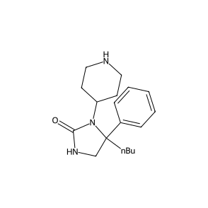 CCCCC1(c2ccccc2)CNC(=O)N1C1CCNCC1